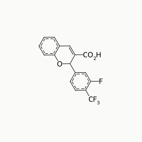 O=C(O)C1=Cc2ccccc2OC1c1ccc(C(F)(F)F)c(F)c1